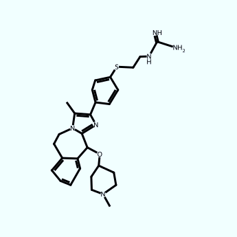 Cc1c(-c2ccc(SCCNC(=N)N)cc2)nc2n1CCc1ccccc1C2OC1CCN(C)CC1